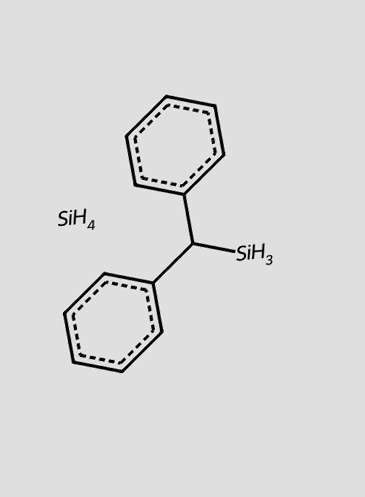 [SiH3]C(c1ccccc1)c1ccccc1.[SiH4]